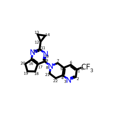 FC(F)(F)c1cnc2c(c1)CN(c1nc(C3CC3)nc3c1CCC3)CC2